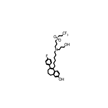 O=S(=O)(CCCN(CCCO)CCCCCCC1=C(c2ccc(F)cc2)CCCc2cc(O)ccc21)CCC(F)(F)F